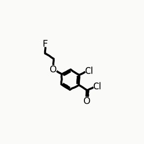 O=C(Cl)c1ccc(OCCF)cc1Cl